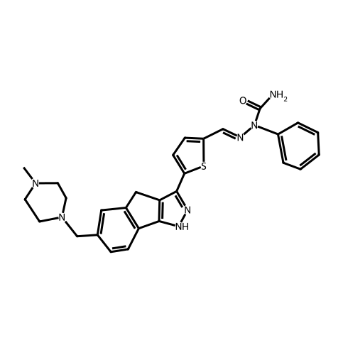 CN1CCN(Cc2ccc3c(c2)Cc2c(-c4ccc(C=NN(C(N)=O)c5ccccc5)s4)n[nH]c2-3)CC1